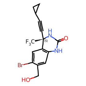 O=C1Nc2cc(CO)c(Br)cc2[C@@](C#CC2CC2)(C(F)(F)F)N1